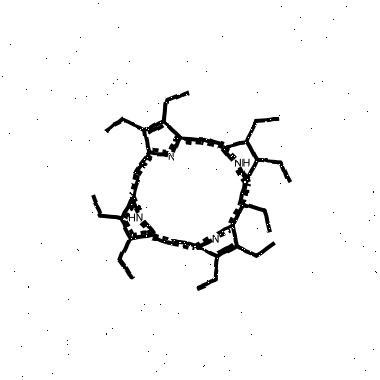 CCC1=C(CC)c2cc3[nH]c(cc4nc(c(CC)c5[nH]c(cc1n2)C(CC)C5CC)C(CC)=C4CC)c(CC)c3CC